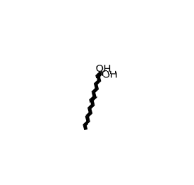 CCCCCCCCCCCCCC=C(O)O